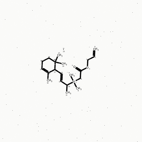 C=CCOC(=O)C[N+](C)(C)C(C)/C=C/C1C(C)=CCCC1(C)C.[I-]